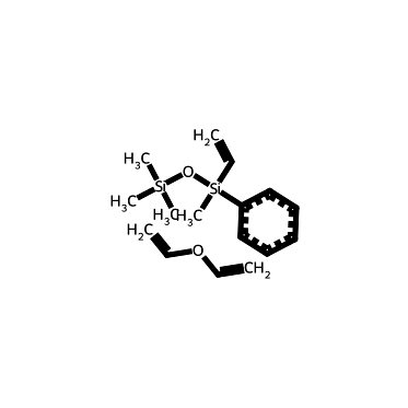 C=COC=C.C=C[Si](C)(O[Si](C)(C)C)c1ccccc1